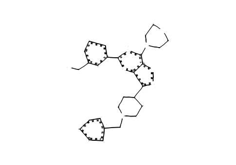 OCc1cccc(-c2nc(N3CCOCC3)c3onc(C4CCN(Cc5ccccc5)CC4)c3n2)c1